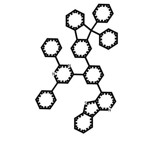 c1ccc(-c2cc(-c3cc(-c4ccnc5c4sc4ccccc45)ccc3-c3ccc4c(c3)C(c3ccccc3)(c3ccccc3)c3ccccc3-4)nc(-c3ccccc3)n2)cc1